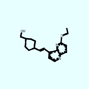 CCOc1ccc2nccc(C=CC3CCC(CO)CC3)c2n1